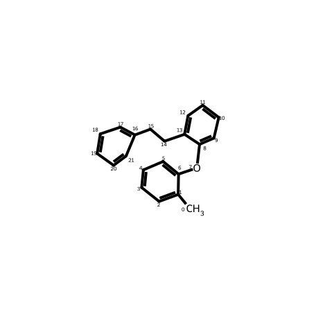 Cc1ccccc1Oc1ccccc1CCc1ccccc1